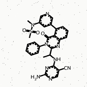 CC(Nc1nc(N)ncc1C#N)c1nc2cccc(-c3cncc(N(C)S(C)(=O)=O)c3)c2c(=O)n1-c1ccccc1